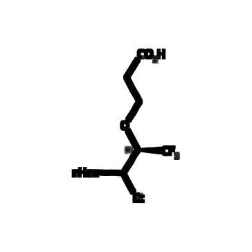 CCCCCCC(CC)[C@@H](OCCC(=O)O)C(F)(F)F